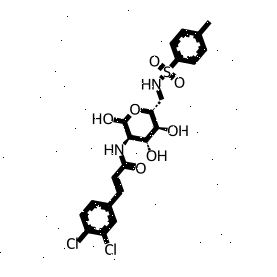 Cc1ccc(S(=O)(=O)NC[C@H]2OC(O)[C@H](NC(=O)/C=C/c3ccc(Cl)c(Cl)c3)[C@@H](O)[C@@H]2O)cc1